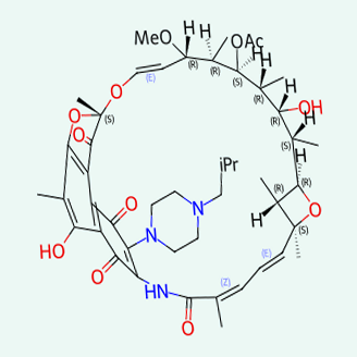 CO[C@H]1/C=C/O[C@@]2(C)Oc3c(C)c(O)c4c(c3C2=O)C(=O)C(N2CCN(CC(C)C)CC2)=C(NC(=O)/C(C)=C\C=C\[C@]2(C)O[C@H]([C@@H](C)[C@@H](O)[C@@H](C)[C@H](OC(C)=O)[C@@H]1C)[C@H]2C)C4=O